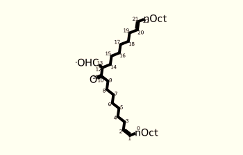 CCCCCCCC/C=C\CCCCCCCC(=O)C([C]=O)CCCCCC/C=C/CCCCCCCC